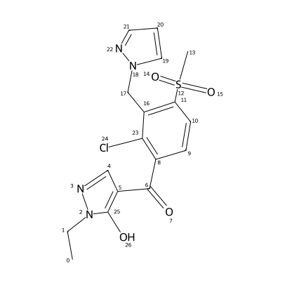 CCn1ncc(C(=O)c2ccc(S(C)(=O)=O)c(Cn3cccn3)c2Cl)c1O